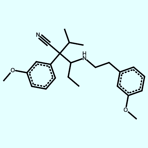 CCC(NCCc1cccc(OC)c1)C(C#N)(c1cccc(OC)c1)C(C)C